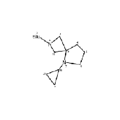 CC(C)(C)N1CC2(CCCN2C2CC2)C1